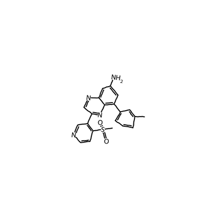 Cc1cccc(-c2cc(N)cc3ncc(-c4cnccc4S(C)(=O)=O)nc23)c1